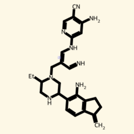 C=C1CCc2c1ccc(C1CN(C/C(C=N)=C/Nc3cc(N)c(C#N)cn3)C(CC)CN1)c2N